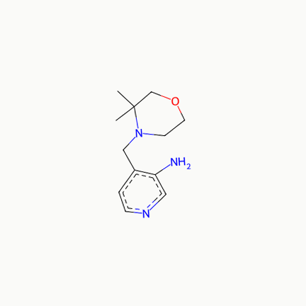 CC1(C)COCCN1Cc1ccncc1N